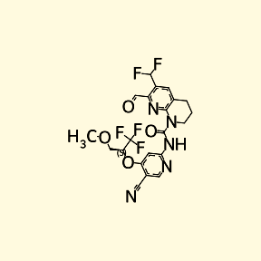 COC[C@H](Oc1cc(NC(=O)N2CCCc3cc(C(F)F)c(C=O)nc32)ncc1C#N)C(F)(F)F